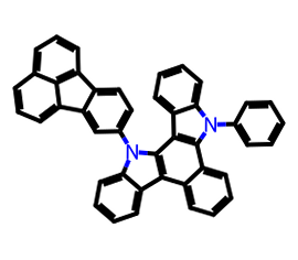 c1ccc(-n2c3ccccc3c3c2c2ccccc2c2c4ccccc4n(-c4ccc5c(c4)-c4cccc6cccc-5c46)c23)cc1